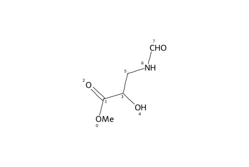 COC(=O)C(O)CNC=O